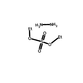 CCOS(=O)(=O)OCC.NN